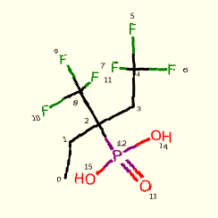 CCC(CC(F)(F)F)(C(F)(F)F)P(=O)(O)O